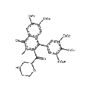 COc1cc2c(-c3cc(OC)c(OC)c(OC)c3)c(C(=O)C3CNCCO3)n(C)c(=O)c2cc1OC